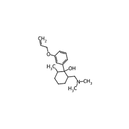 C=CCOc1cccc(C2(O)C(C)CCCC2CN(C)C)c1